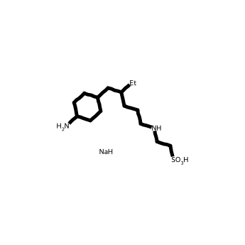 CCC(CCCNCCS(=O)(=O)O)CC1CCC(N)CC1.[NaH]